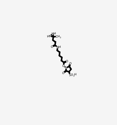 CC1(CCC(=O)NCCCCCC(=O)ON2C(=O)CC(S(=O)(=O)O)C2=O)NN1